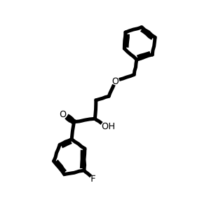 O=C(c1cccc(F)c1)C(O)CCOCc1ccccc1